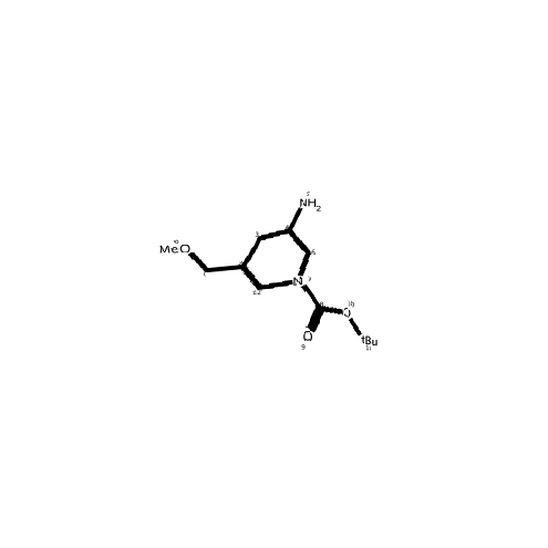 COCC1CC(N)CN(C(=O)OC(C)(C)C)C1